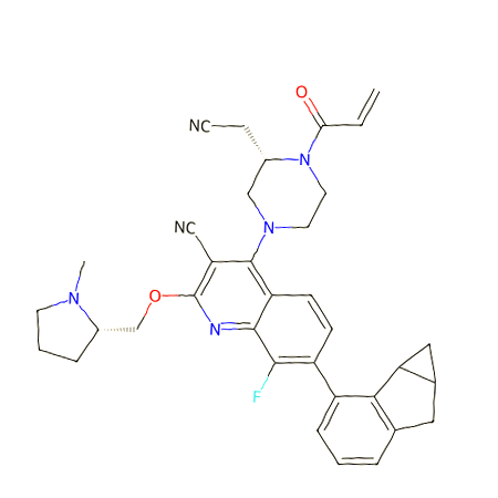 C=CC(=O)N1CCN(c2c(C#N)c(OC[C@@H]3CCCN3C)nc3c(F)c(-c4cccc5c4C4CC4C5)ccc23)C[C@@H]1CC#N